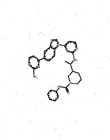 CC(Nc1nccc(-n2cnc3cc(-c4ccnc(N)n4)ccc32)n1)C1CCCN(C(=O)Nc2ccccc2)C1